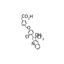 C[C@@H](c1ccc(OCc2ccc(CC(=O)O)cc2)cc1Cl)[C@](O)(c1cnc2ccccc2c1)C(F)(F)F